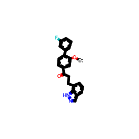 CCOc1cc(C(=O)CCc2cccc3cn[nH]c23)ccc1-c1cccc(F)c1